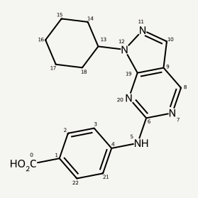 O=C(O)c1ccc(Nc2ncc3cnn(C4CCCCC4)c3n2)cc1